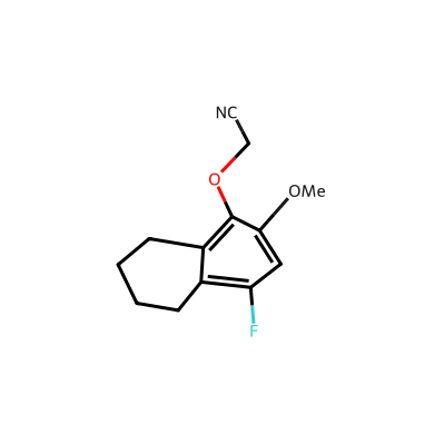 COc1cc(F)c2c(c1OCC#N)CCCC2